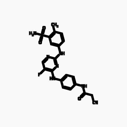 Cc1ccc(Nc2ncc(F)c(Nc3ccc(NC(=O)CC#N)cc3)n2)cc1S(N)(=O)=O